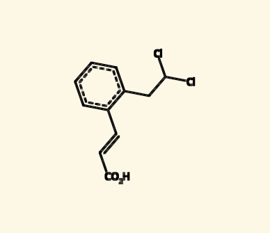 O=C(O)/C=C/c1ccccc1CC(Cl)Cl